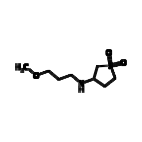 COCCCNC1CCS(=O)(=O)C1